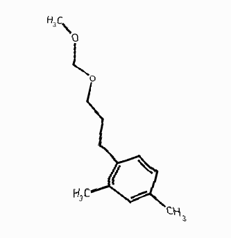 COCOCCCc1ccc(C)cc1C